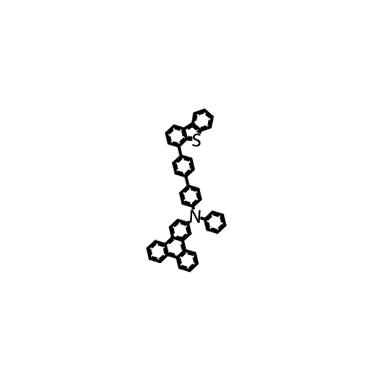 c1ccc(N(c2ccc(-c3ccc(-c4cccc5c4sc4ccccc45)cc3)cc2)c2ccc3c4ccccc4c4ccccc4c3c2)cc1